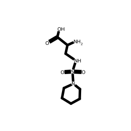 NC(CNS(=O)(=O)N1CCCCC1)C(=O)O